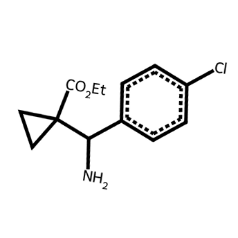 CCOC(=O)C1(C(N)c2ccc(Cl)cc2)CC1